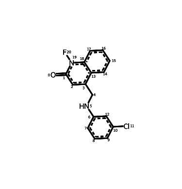 O=c1cc(CNc2cccc(Cl)c2)c2ccccc2n1F